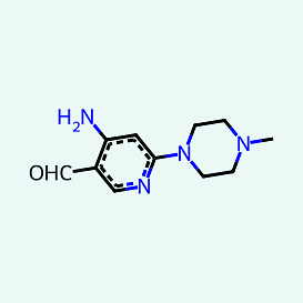 CN1CCN(c2cc(N)c(C=O)cn2)CC1